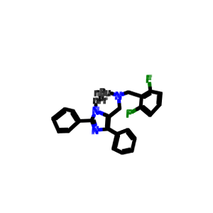 CCCCN(Cc1c(F)cccc1F)Cc1c(-c2ccccc2)nc(-c2ccccc2)n1CCC